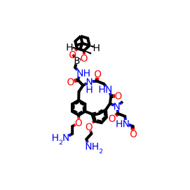 CN(C(=O)CNC=O)C1C(=O)NCC(=O)NC(C(=O)NCB2O[C@@H]3CC4C[C@@H](C4(C)C)[C@]3(C)O2)Cc2ccc(OCCN)c(c2)-c2cc1ccc2OCCN